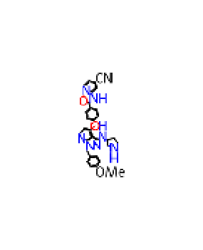 COc1ccc(Cn2nc(NC3CCNC3)c3c(Oc4ccc(C(=O)Nc5cc(C#N)ccn5)cc4)ccnc32)cc1